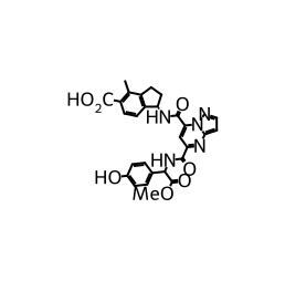 COC(=O)C(NC(=O)c1cc(C(=O)N[C@H]2CCc3c2ccc(C(=O)O)c3C)n2nccc2n1)c1ccc(O)cc1